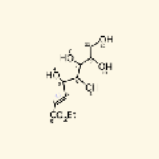 CCOC(=O)/C=C/C(O)C(O)C(O)C(O)CO